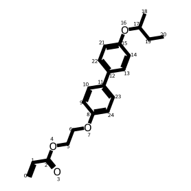 C=CC(=O)OCCOc1ccc(-c2ccc(OC(C)CC)cc2)cc1